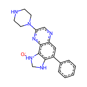 [O-][NH+]1CNc2c(-c3ccccc3)cc3ncc(N4CCNCC4)nc3c21